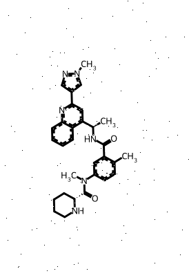 Cc1ccc(N(C)C(=O)[C@H]2CCCCN2)cc1C(=O)N[C@H](C)c1cc(-c2cnn(C)c2)nc2ccccc12